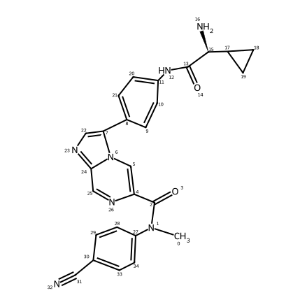 CN(C(=O)c1cn2c(-c3ccc(NC(=O)[C@@H](N)C4CC4)cc3)cnc2cn1)c1ccc(C#N)cc1